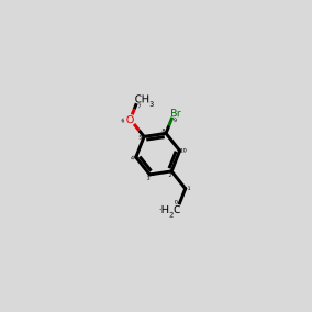 [CH2]Cc1ccc(OC)c(Br)c1